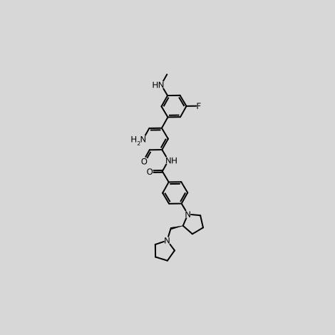 CNc1cc(F)cc(C(/C=C(\C=O)NC(=O)c2ccc(N3CCC[C@H]3CN3CCCC3)cc2)=C/N)c1